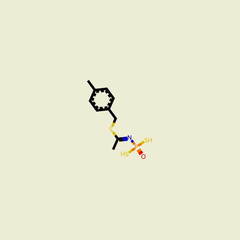 CC(=NP(=O)(S)S)SCc1ccc(C)cc1